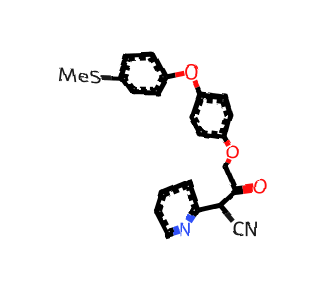 CSc1ccc(Oc2ccc(OCC(=O)C(C#N)c3ccccn3)cc2)cc1